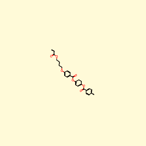 C=CC(=O)OCCCCOc1ccc(C(=O)OC2=CC=C(OC(=O)c3ccc(C)cc3)CC2)cc1